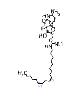 CCCCC/C=C\C/C=C\CCCCCCCCNC(=N)OC[C@H]1O[C@@H](N2C=CC(N)NC2=O)C(F)(F)[C@@H]1O